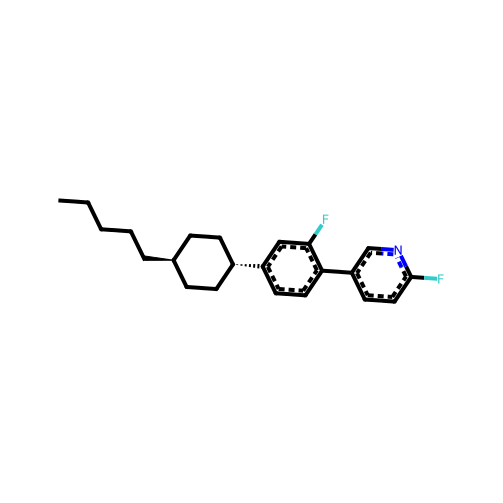 CCCCC[C@H]1CC[C@H](c2ccc(-c3ccc(F)nc3)c(F)c2)CC1